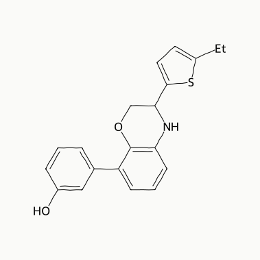 CCc1ccc(C2COc3c(cccc3-c3cccc(O)c3)N2)s1